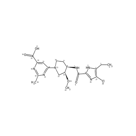 CCc1[nH]c(C(=O)N[C@@H]2CCN(c3cc(C(=O)O)nc(C)n3)C[C@@H]2OC)nc1Cl